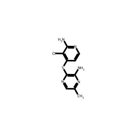 Cc1cnc(Sc2ccnc(N)c2Cl)c(N)n1